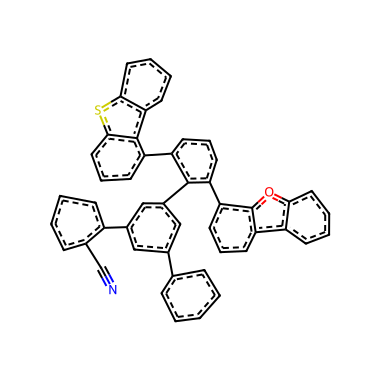 N#Cc1ccccc1-c1cc(-c2ccccc2)cc(-c2c(-c3cccc4c3oc3ccccc34)cccc2-c2cccc3sc4ccccc4c23)c1